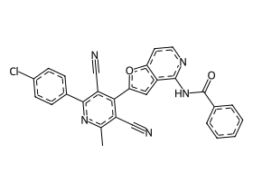 Cc1nc(-c2ccc(Cl)cc2)c(C#N)c(-c2cc3c(NC(=O)c4ccccc4)nccc3o2)c1C#N